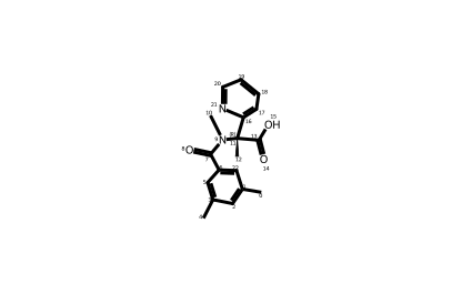 Cc1cc(C)cc(C(=O)N(C)[C@@](C)(C(=O)O)c2ccccn2)c1